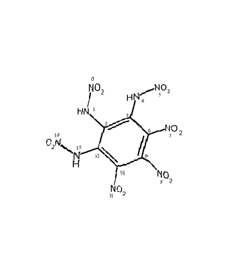 O=[N+]([O-])Nc1c(N[N+](=O)[O-])c([N+](=O)[O-])c([N+](=O)[O-])c([N+](=O)[O-])c1N[N+](=O)[O-]